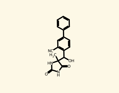 CC1(C(O)c2ccc(-c3ccccc3)cc2C#N)NC(=O)NC1=O